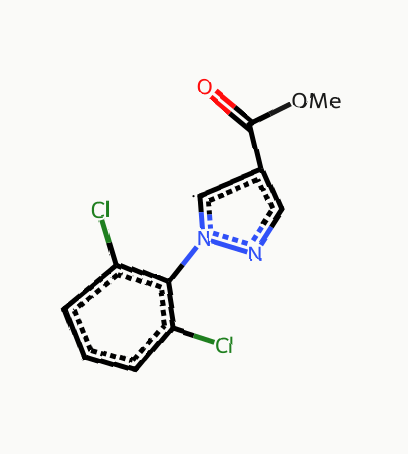 COC(=O)c1[c]n(-c2c(Cl)cccc2Cl)nc1